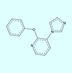 c1ccc(Oc2ncccc2-n2ccnc2)cc1